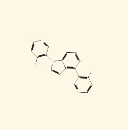 Cc1ccncc1-c1cccc2c1ccn2-c1cnccc1C